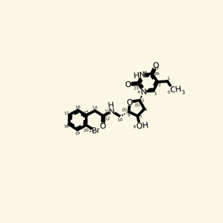 CCc1cn([C@@H]2CC(O)[C@H](CNC(=O)Cc3ccccc3Br)O2)c(=O)[nH]c1=O